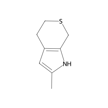 Cc1cc2c([nH]1)CSCC2